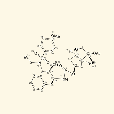 CC[C@]1(OC(C)=O)CO[C@@H]2C[C@H](OC(=O)N[C@@H](Cc3ccccc3)[C@H](O)CN(CC(C)C)S(=O)(=O)c3ccc(OC)cc3)C[C@@H]21